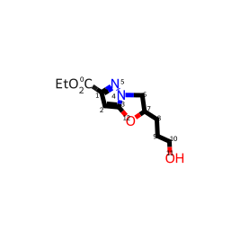 CCOC(=O)c1cc2n(n1)CC(CCCO)O2